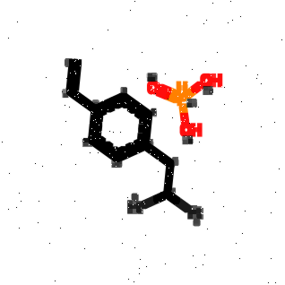 C=Cc1ccc(CC(CC)CC)cc1.O=[PH](O)O